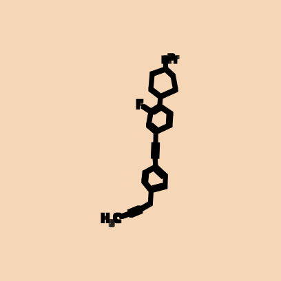 CC#CCc1ccc(C#Cc2ccc(C3CCC(CCC)CC3)c(F)c2)cc1